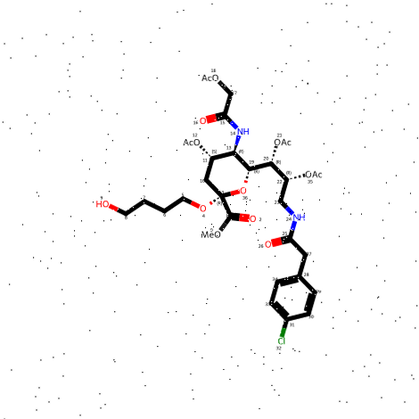 COC(=O)[C@@]1(OCCCCO)C[C@H](OC(C)=O)[C@@H](NC(=O)COC(C)=O)[C@H]([C@H](OC(C)=O)[C@@H](CNC(=O)Cc2ccc(Cl)cc2)OC(C)=O)O1